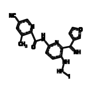 Cc1cc(C#N)cnc1C(=O)Nc1ccc(NPI)c(C(=N)c2ccoc2)n1